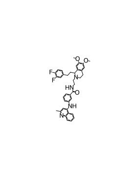 COc1cc2c(cc1OC)C(CCc1ccc(F)c(F)c1)N(CCNC(=O)c1cccc(Nc3cc(C)nc4ccccc34)c1)CC2